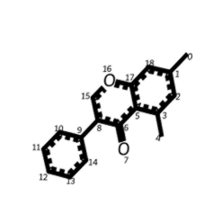 Cc1cc(C)c2c(=O)c(-c3ccccc3)coc2c1